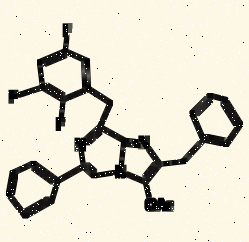 CC(=O)Oc1c(Cc2ccccc2)nc2c(Cc3cc(F)cc(F)c3F)nc(-c3ccccc3)cn12